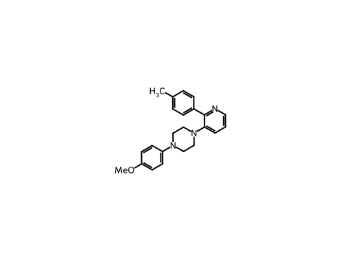 COc1ccc(N2CCN(c3cccnc3-c3ccc(C)cc3)CC2)cc1